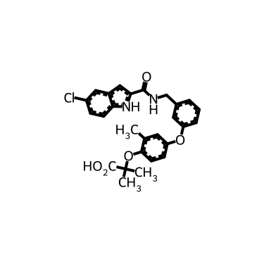 Cc1cc(Oc2cccc(CNC(=O)c3cc4cc(Cl)ccc4[nH]3)c2)ccc1OC(C)(C)C(=O)O